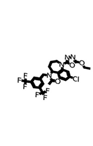 CCOc1nnc(N2CCCC(N(Cc3cc(C(F)(F)F)cc(C(F)(F)F)c3)C(C)=O)c3ccc(Cl)cc32)o1